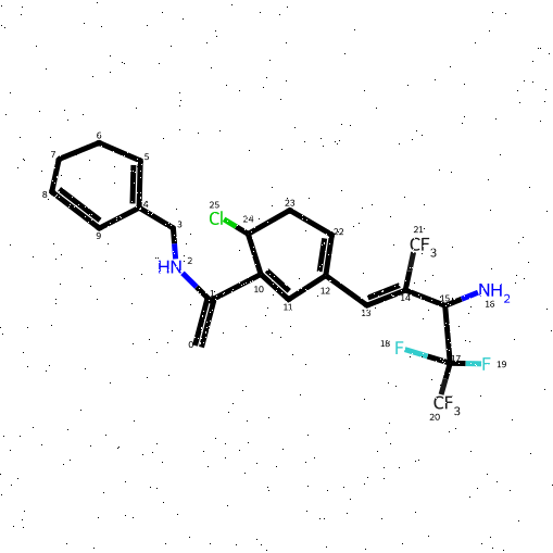 C=C(NCC1=CCCC=C1)C1=CC(/C=C(/C(N)C(F)(F)C(F)(F)F)C(F)(F)F)=CCC1Cl